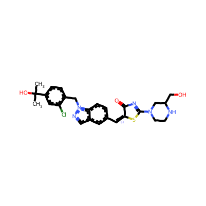 CC(C)(O)c1ccc(Cn2ncc3cc(/C=C4/SC(N5CCNC(CO)C5)=NC4=O)ccc32)c(Cl)c1